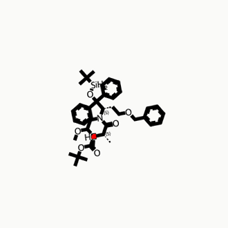 COC(CN(C(=O)[C@H](C)NC(=O)OC(C)(C)C)[C@@H](CCOCc1ccccc1)C(O[SiH2]C(C)(C)C)(c1ccccc1)c1ccccc1)OC